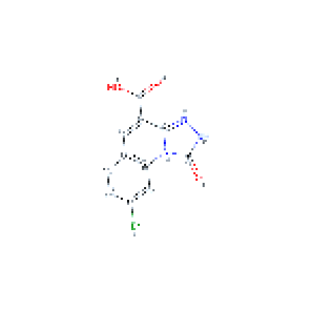 O=C(O)c1cc2ccc(Br)cc2n2c(=O)[nH]nc12